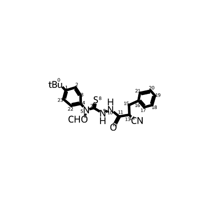 CC(C)(C)c1ccc(N(C=O)C(=S)NNC(=O)C(C#N)Cc2ccccc2)cc1